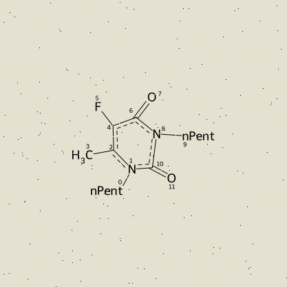 CCCCCn1c(C)c(F)c(=O)n(CCCCC)c1=O